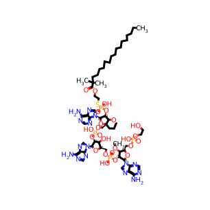 CCCCCCCCCCCCCCCCC(C)(C)C(=O)OCCSP(=O)(O)O[C@H]1C2OCCC[C@]2(COP(=O)(O)O[C@H]2C(O)[C@@H](COP(=O)(O)O[C@H]3C(OC)[C@@H](COP(=O)(O)OCCO)O[C@H]3n3cnc4c(N)ncnc43)O[C@H]2n2cnc3c(N)ncnc32)O[C@H]1n1cnc2c(N)ncnc21